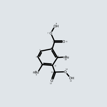 CCCCc1ccc(C(=O)OO)c(CCCC)c1C(=O)OO